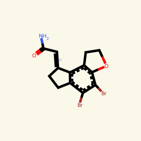 NC(=O)/C=C1\CCc2c(Br)c(Br)c3c(c21)CCO3